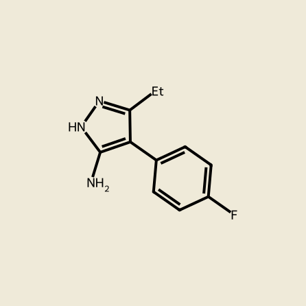 CCc1n[nH]c(N)c1-c1ccc(F)cc1